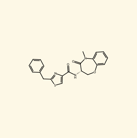 CN1C(=O)[C@@H](NC(=O)c2csc(Cc3ccccc3)n2)COc2ccccc21